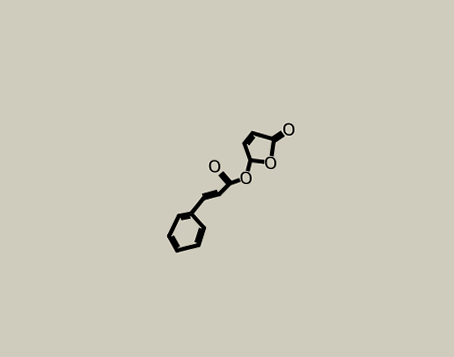 O=C(C=Cc1ccccc1)OC1C=CC(=O)O1